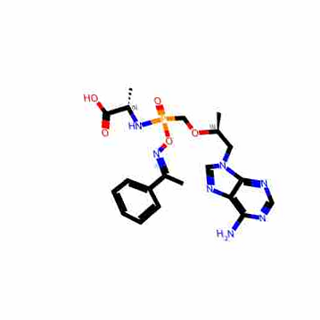 C/C(=N\OP(=O)(CO[C@@H](C)Cn1cnc2c(N)ncnc21)N[C@@H](C)C(=O)O)c1ccccc1